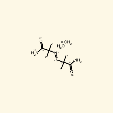 CC(C)(N=NC(C)(C)C(N)=O)C(N)=O.O.O